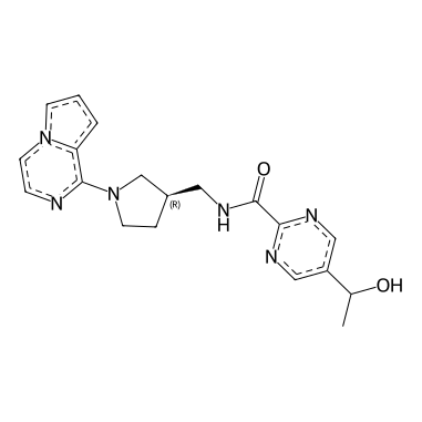 CC(O)c1cnc(C(=O)NC[C@H]2CCN(c3nccn4cccc34)C2)nc1